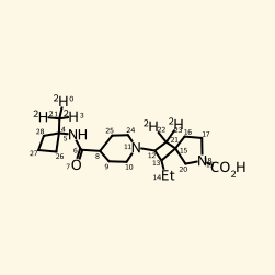 [2H]C([2H])([2H])C1(NC(=O)C2CCN(C3C(CC)C4(CCN(C(=O)O)C4)C3([2H])[2H])CC2)CCC1